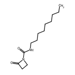 CCCCCCCCCNC(=O)N1CCC1=O